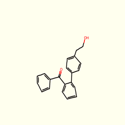 O=C(c1ccccc1)c1ccccc1-c1ccc(CCO)cc1